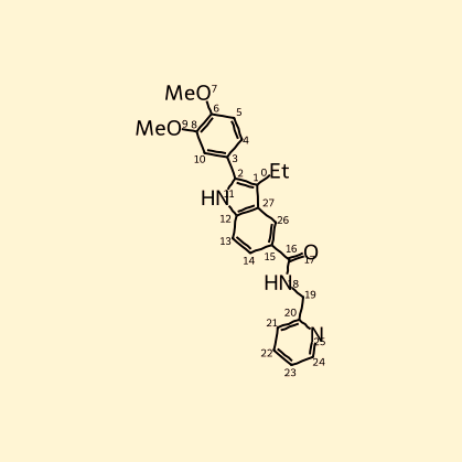 CCc1c(-c2ccc(OC)c(OC)c2)[nH]c2ccc(C(=O)NCc3ccccn3)cc12